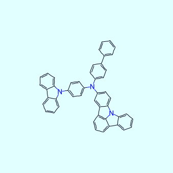 c1ccc(-c2ccc(N(c3ccc(-n4c5ccccc5c5ccccc54)cc3)c3ccc4c(c3)c3cccc5c6ccccc6n4c53)cc2)cc1